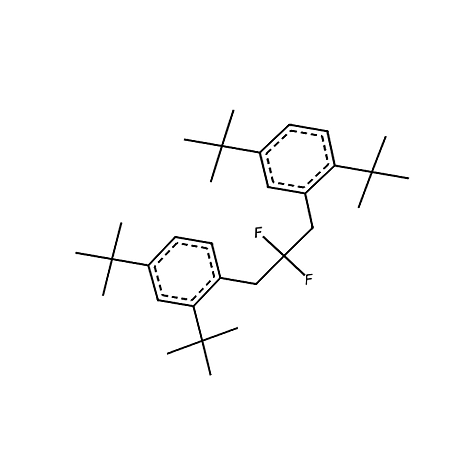 CC(C)(C)c1ccc(C(C)(C)C)c(CC(F)(F)Cc2ccc(C(C)(C)C)cc2C(C)(C)C)c1